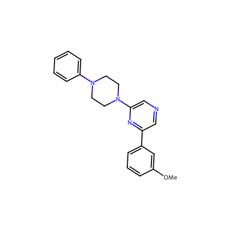 COc1cccc(-c2cncc(N3CCN(c4ccccc4)CC3)n2)c1